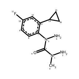 CN(N)C(=O)N(N)c1ccc(F)cc1C1CC1